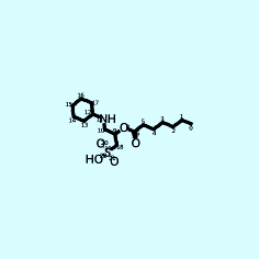 CCCCCCC(=O)OC(CNC1CCCCC1)CS(=O)(=O)O